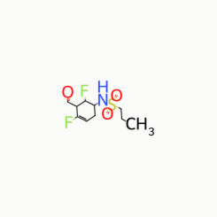 CCCS(=O)(=O)NC1CC=C(F)C(C=O)C1F